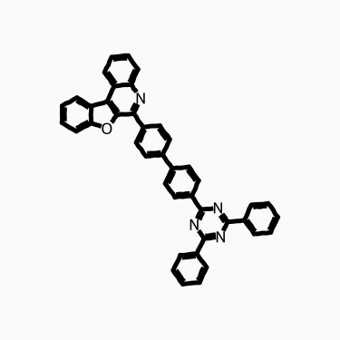 c1ccc(-c2nc(-c3ccccc3)nc(-c3ccc(-c4ccc(-c5nc6ccccc6c6c5oc5ccccc56)cc4)cc3)n2)cc1